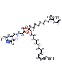 CCCCC/C=C\C/C=C\CCCCCCCCC1(CCCCCCCC/C=C\C/C=C\CCCCC)OCC(CCNCC(CN(C)C)N=N)O1